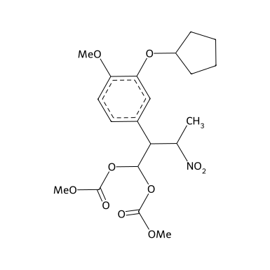 COC(=O)OC(OC(=O)OC)C(c1ccc(OC)c(OC2CCCC2)c1)C(C)[N+](=O)[O-]